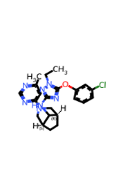 CCn1nc(NC2[C@@H]3CC[C@H]2CN(c2cc(C)ncn2)C3)nc1Oc1cccc(Cl)c1